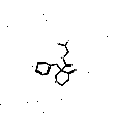 N=C1CCNCC1(Cc1ccccc1)C(=O)NCC(F)F